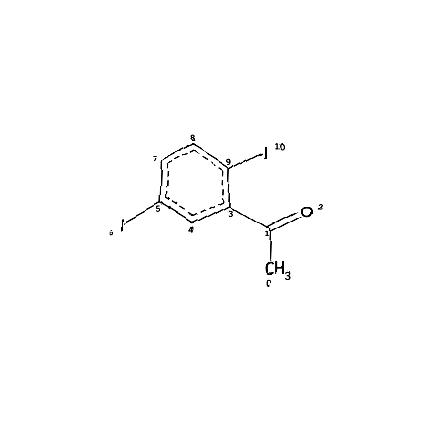 CC(=O)c1cc(I)ccc1I